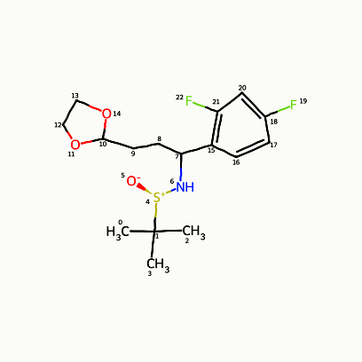 CC(C)(C)[S@@+]([O-])NC(CCC1OCCO1)c1ccc(F)cc1F